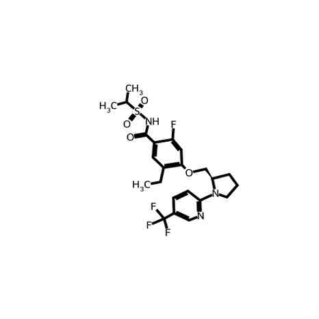 CCc1cc(C(=O)NS(=O)(=O)C(C)C)c(F)cc1OC[C@H]1CCCN1c1ccc(C(F)(F)F)cn1